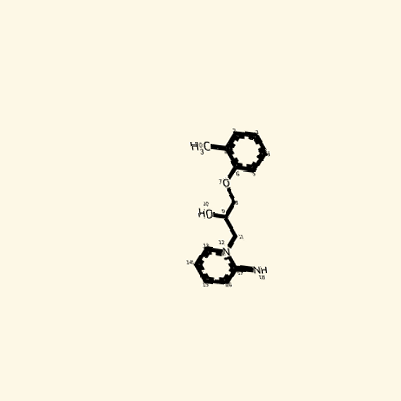 Cc1ccccc1OCC(O)Cn1ccccc1=N